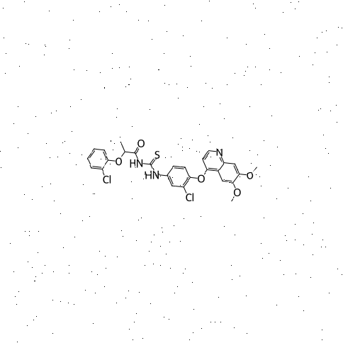 COc1cc2nccc(Oc3ccc(NC(=S)NC(=O)C(C)Oc4ccccc4Cl)cc3Cl)c2cc1OC